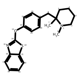 CN1CC[CH]CC1(C)Cc1ccc(Oc2nc3ccccc3s2)cc1